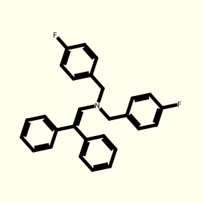 Fc1ccc(CN(C=C(c2ccccc2)c2ccccc2)Cc2ccc(F)cc2)cc1